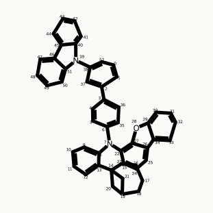 c1cc(-c2ccc(N(c3ccccc3C34CCCCC(C3)C4)c3cccc4c3oc3ccccc34)cc2)cc(-n2c3ccccc3c3ccccc32)c1